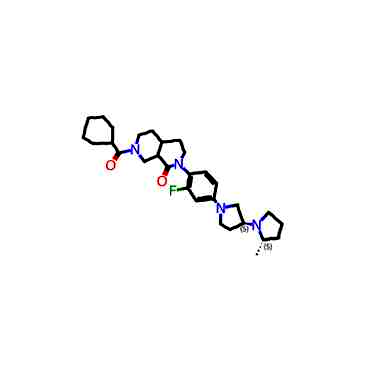 C[C@H]1CCCN1[C@H]1CCN(c2ccc(N3CCC4CCN(C(=O)C5CCCCC5)CC4C3=O)c(F)c2)C1